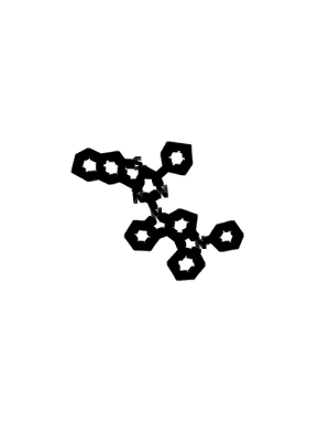 c1ccc(-c2nc(-n3c4ccccc4c4c5c6ccccc6n(-c6ccccc6)c5ccc43)nc3c2sc2cc4ccccc4cc23)cc1